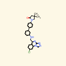 CC1(C)CC(=O)N(c2ccc(-c3cccc(NCc4nc5nncn5c5cc(Cl)ccc45)c3)cc2)C1